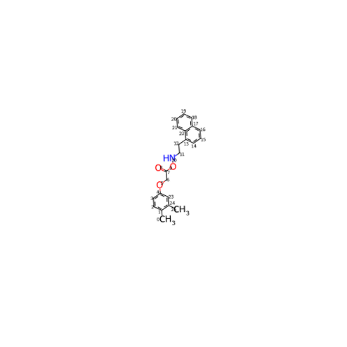 Cc1ccc(OCC(=O)ONCCc2cccc3ccccc23)cc1C